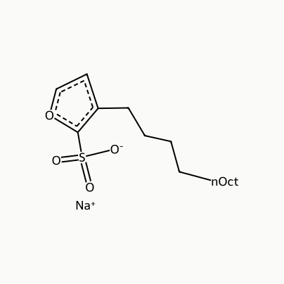 CCCCCCCCCCCCc1ccoc1S(=O)(=O)[O-].[Na+]